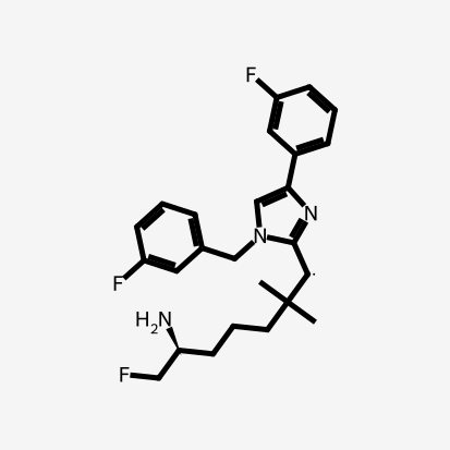 CC(C)([CH]c1nc(-c2cccc(F)c2)cn1Cc1cccc(F)c1)CCC[C@H](N)CF